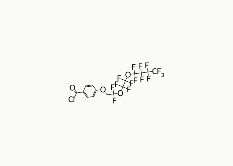 O=C(Cl)c1ccc(OCC(F)(F)OC(F)(F)C(F)(F)OC(F)(F)C(F)(F)C(F)(F)C(F)(F)F)cc1